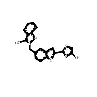 CC(C)(C)c1csc(-c2cc3cc(Cn4nc5ccccc5c4C#N)ccc3o2)n1